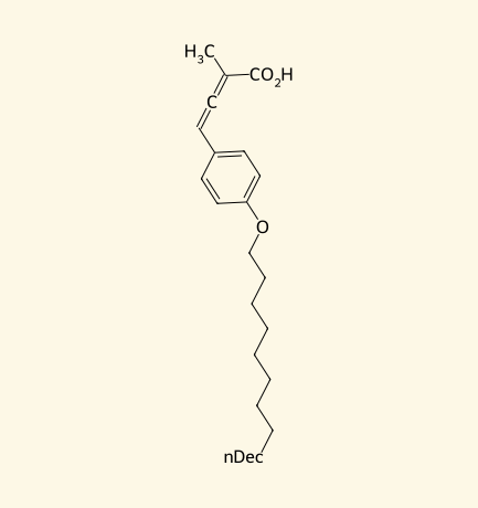 CCCCCCCCCCCCCCCCCCOc1ccc(C=C=C(C)C(=O)O)cc1